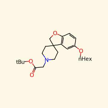 CCCCCCOc1ccc2c(c1)C1(CCN(CC(=O)OC(C)(C)C)CC1)CO2